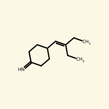 CCC(=CC1CCC(=N)CC1)CC